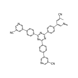 C=N/C=C(\C=C(/C)C#N)c1ccc(-c2nc(-c3ccc(-c4cncc(C#N)c4)cc3)nc(-c3ccc(-c4cncc(C#N)c4)cc3)n2)cc1